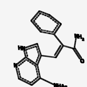 CC(=O)Nc1ccnc2[nH]cc(C=C(C(N)=O)c3ccccc3)c12